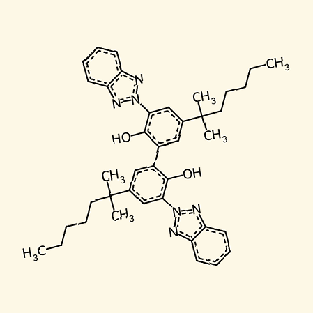 CCCCCC(C)(C)c1cc(-c2cc(C(C)(C)CCCCC)cc(-n3nc4ccccc4n3)c2O)c(O)c(-n2nc3ccccc3n2)c1